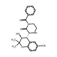 CC1(C)Oc2ccc(C#N)cc2[C@@H](C2NCCN(C(=O)c3ccccc3)C2=O)[C@@H]1O